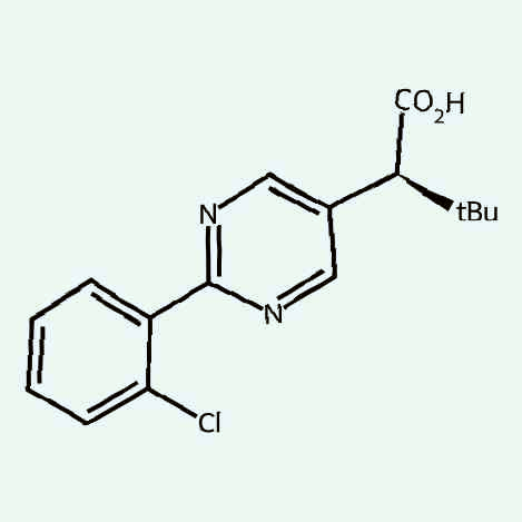 CC(C)(C)[C@H](C(=O)O)c1cnc(-c2ccccc2Cl)nc1